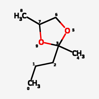 CCCC1(C)OCC(C)O1